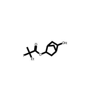 CCC(C)(I)C(=O)OC1CC2CC1CC2O